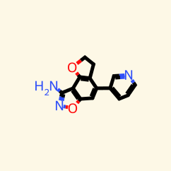 Nc1noc2cc(-c3cccnc3)c3c(c12)OCC3